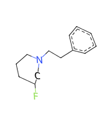 FC1CCCN(CCc2ccccc2)C1